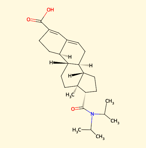 CC(C)N(C(=O)[C@H]1CC[C@H]2[C@@H]3CC=C4C=C(C(=O)O)CC[C@@H]4[C@H]3CC[C@]12C)C(C)C